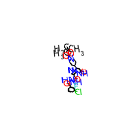 CC(C)(C)OC(=O)N1CCC(c2cc(=O)[nH]c3c(C(=O)NNC(=O)c4cccc(Cl)c4F)cnn23)CC1